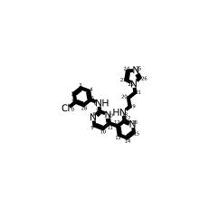 Clc1cccc(Nc2nccc(-c3cccnc3NCCCn3ccnc3)n2)c1